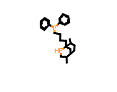 CC1CPC2(CCCCP(c3ccccc3)c3ccccc3)CC1CCC2C